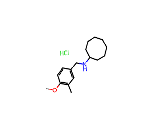 COc1ccc(CNC2CCCCCCC2)cc1C.Cl